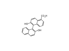 O=C(O)c1cccc2c(-c3c(O)ccc4ccccc34)c(O)ccc12